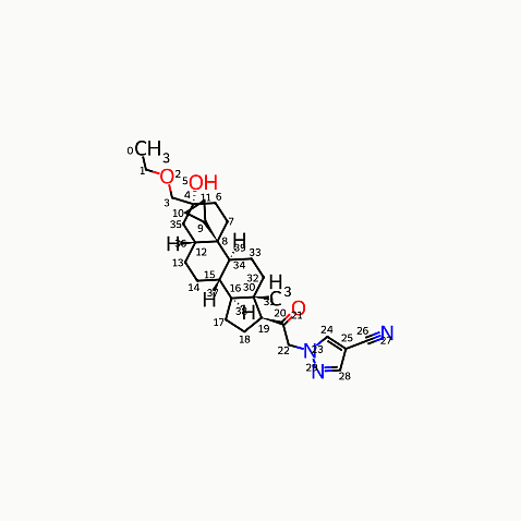 CCOC[C@@]1(O)CC[C@@]2(C3CC3)[C@H](CC[C@H]3[C@@H]4CC[C@H](C(=O)Cn5cc(C#N)cn5)[C@@]4(C)CC[C@@H]32)C1